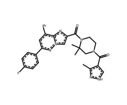 Cc1n[nH]cc1C(=O)N1CCN(C(=O)c2cn3nc(-c4ccc(F)cc4)cc(C(C)C)c3n2)C(C)(C)C1